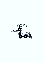 COC(=O)c1cnc(-c2cc3nccc(-c4ccc(N5CCC(F)C5)c(C#N)c4)c3o2)c(OC)c1